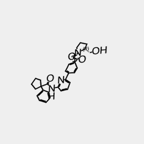 O=C(Nc1cccc(-c2ccc(S(=O)(=O)N3CCC[C@@H]3CO)cc2)n1)C1(c2ccccc2)CCCC1